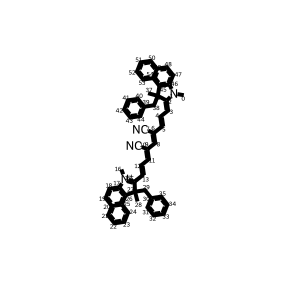 CN1/C(=C/C=C/C(C#N)=C/C(C#N)=C/C=C/C2=[N+](C)c3ccc4ccccc4c3C2(C)Cc2ccccc2)C(C)(Cc2ccccc2)c2c1ccc1ccccc21